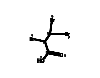 O=C(O)C(Br)C(Br)Br